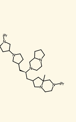 CC(C)N1CCC(N2CCC(C[C@H](CC3CN4CCN(C(C)C)CC4(C)C3)N3CCN4CCCC4C3)C2)C1